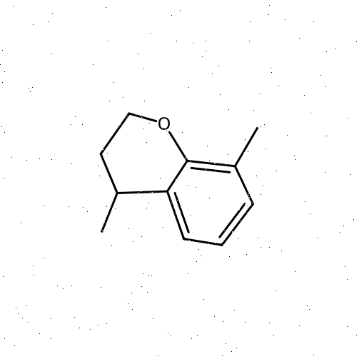 Cc1cccc2c1OCCC2C